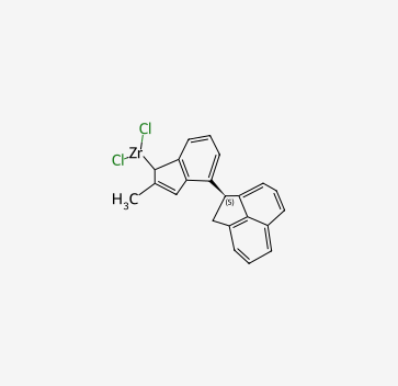 CC1=Cc2c(cccc2[C@@H]2Cc3cccc4cccc2c34)[CH]1[Zr]([Cl])[Cl]